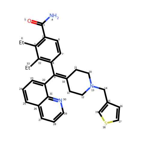 CCc1c(C(N)=O)ccc(C(=C2CCN(Cc3ccsc3)CC2)c2cccc3cccnc23)c1CC